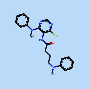 CCCN(CCCC(=O)Nc1c(S)ncnc1N(CCC)c1ccccc1)c1ccccc1